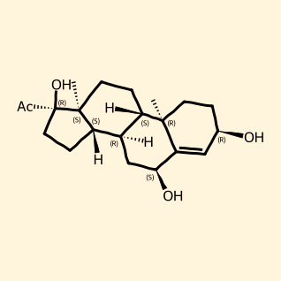 CC(=O)[C@@]1(O)CC[C@H]2[C@@H]3C[C@H](O)C4=C[C@H](O)CC[C@]4(C)[C@H]3CC[C@@]21C